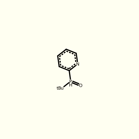 CC(C)(C)[PH](=O)c1ccccn1